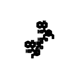 C=CC1C[N+]2(CC(=O)NONC(=O)C[N+]34CCC(CC3[C@@H](O)c3ccnc5ccccc35)C(C=C)C4)CCC1CC2[C@@H](O)c1ccnc2ccccc12